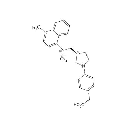 Cc1ccc([C@@H](C)C[C@H]2CCN(c3ccc(CC(=O)O)cc3)C2)c2ccccc12